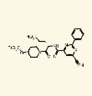 C#Cc1cc(C(=O)N[C@@H](CCC(=O)O)C(=O)N2CCN(OC(=O)OCC)CC2)nc(-c2ccccc2)n1